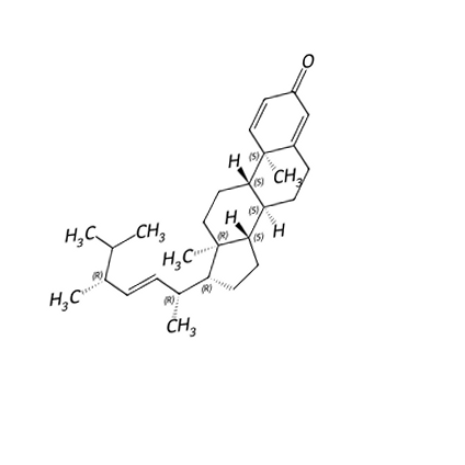 CC(C)[C@@H](C)C=C[C@@H](C)[C@H]1CC[C@H]2[C@@H]3CCC4=CC(=O)C=C[C@]4(C)[C@H]3CC[C@]12C